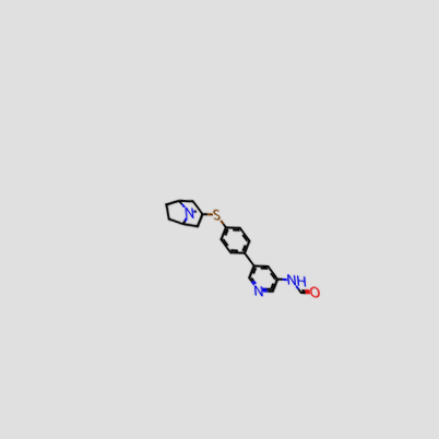 CN1C2CCC1CC(Sc1ccc(-c3cncc(NC=O)c3)cc1)C2